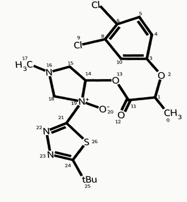 CC(Oc1ccc(Cl)c(Cl)c1)C(=O)OC1CN(C)C[N+]1([O-])c1nnc(C(C)(C)C)s1